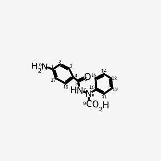 Nc1ccc(C(=O)NN(C(=O)O)c2ccccc2)cc1